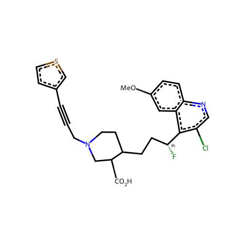 COc1ccc2ncc(Cl)c([C@H](F)CCC3CCN(CC#Cc4ccsc4)CC3C(=O)O)c2c1